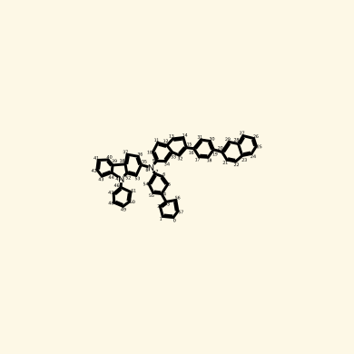 c1ccc(-c2ccc(N(c3ccc4ccc(-c5ccc(-c6ccc7ccccc7c6)cc5)cc4c3)c3ccc4c5ccccc5n(-c5ccccc5)c4c3)cc2)cc1